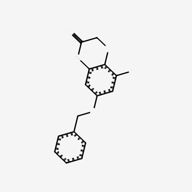 CC(=O)c1cc(OCc2ccccc2)cc2c1OCC(=O)N2